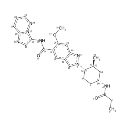 CCC(=O)N[C@@H]1CC[C@H](n2cc3cc(C(=O)Nc4cnc5cccnn45)c(OC)cc3n2)[C@@H](C)C1